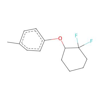 Cc1ccc(OC2CCCCC2(F)F)cc1